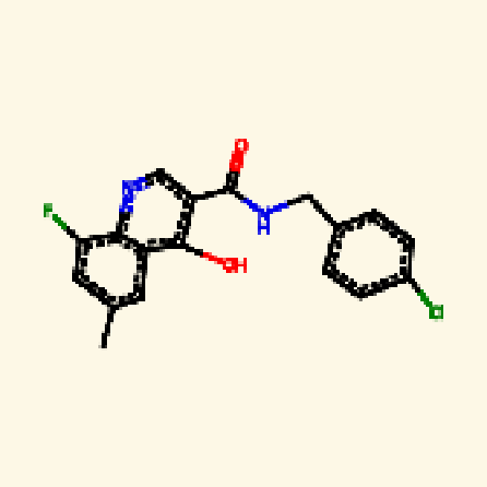 Cc1cc(F)c2ncc(C(=O)NCc3ccc(Cl)cc3)c(O)c2c1